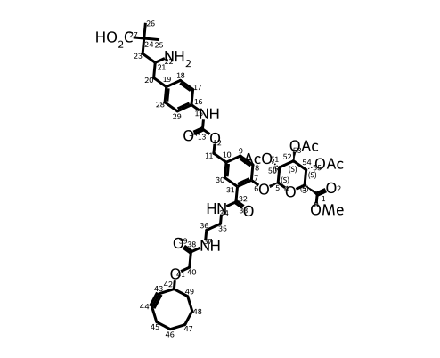 COC(=O)[C@H]1O[C@@H](Oc2ccc(COC(=O)Nc3ccc(CC(N)CC(C)(C)C(=O)O)cc3)cc2C(=O)NCCNC(=O)COC2C#CCCCCC2)[C@H](OC(C)=O)[C@@H](OC(C)=O)[C@@H]1OC(C)=O